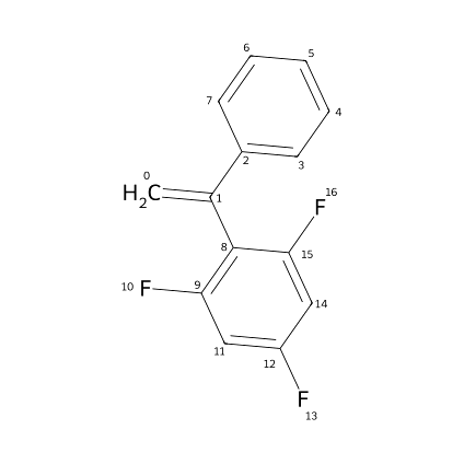 C=C(c1ccccc1)c1c(F)cc(F)cc1F